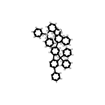 c1ccc(-c2ccc3c(c2)C(c2ccccc2)(c2ccccc2)c2cc(-c4cc5c(oc6cccc(N(c7ccccc7)c7ccccc7)c65)c5ccccc45)ccc2-3)cc1